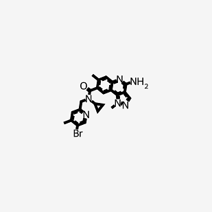 Cc1cc(CN(C(=O)c2cc3c(cc2C)nc(N)c2cnn(C)c23)C2CC2)ncc1Br